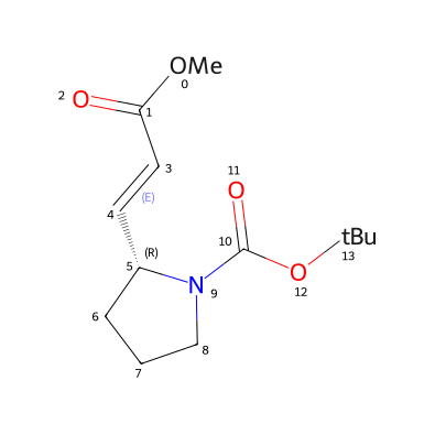 COC(=O)/C=C/[C@H]1CCCN1C(=O)OC(C)(C)C